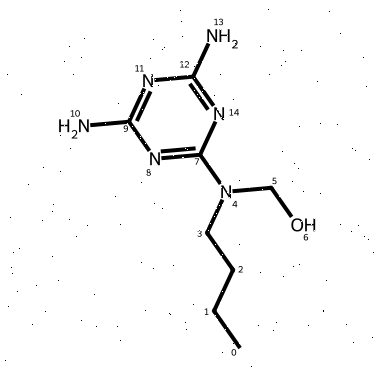 CCCCN(CO)c1nc(N)nc(N)n1